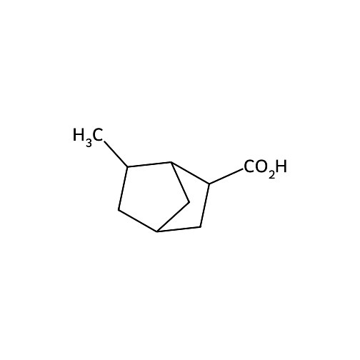 CC1CC2CC(C(=O)O)C1C2